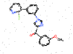 COc1cccc(C(=O)c2cn(-c3cccc(-c4cccnc4F)c3)cn2)c1